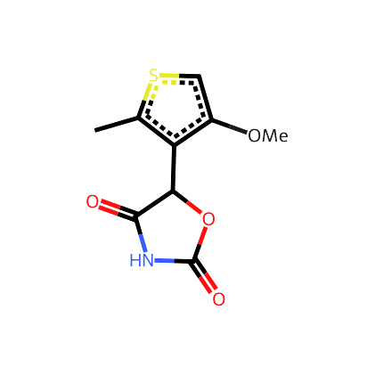 COc1csc(C)c1C1OC(=O)NC1=O